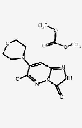 O=C(OC(Cl)(Cl)Cl)OC(Cl)(Cl)Cl.O=c1[nH]nc2cc(N3CCOCC3)c(Cl)nn12